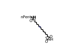 CCCCCNC(=O)NCCCC/C=C/CCCCCCC1SC(=O)NC1=O